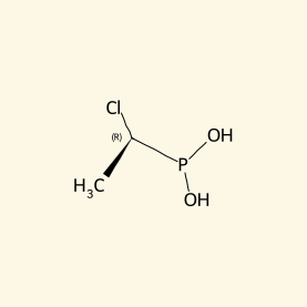 C[C@@H](Cl)P(O)O